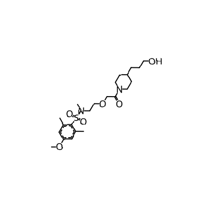 COc1cc(C)c(S(=O)(=O)N(C)CCOCC(=O)N2CCC(CCCO)CC2)c(C)c1